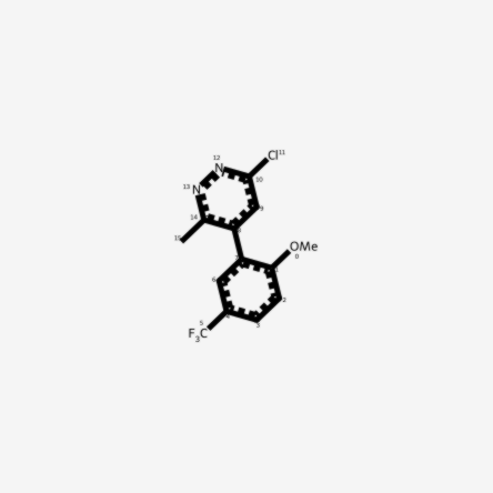 COc1ccc(C(F)(F)F)cc1-c1cc(Cl)nnc1C